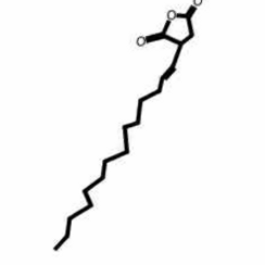 CCCCCCCCCCCCC=CC1CC(=O)OC1=O